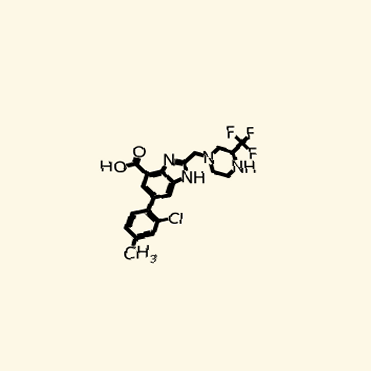 Cc1ccc(-c2cc(C(=O)O)c3nc(CN4CCNC(C(F)(F)F)C4)[nH]c3c2)c(Cl)c1